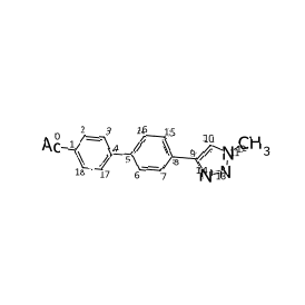 CC(=O)c1ccc(-c2ccc(-c3cn(C)nn3)cc2)cc1